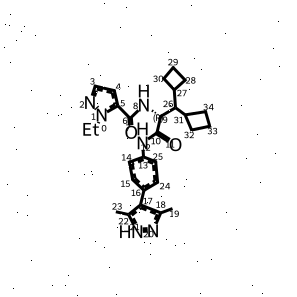 CCn1nccc1C(=O)N[C@@H](C(=O)Nc1ccc(-c2c(C)n[nH]c2C)cc1)C(C1CCC1)C1CCC1